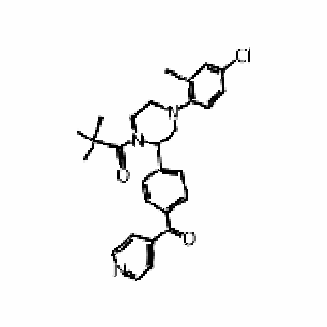 Cc1cc(Cl)ccc1N1CCN(C(=O)C(C)(C)C)C(c2ccc(C(=O)c3ccncc3)cc2)C1